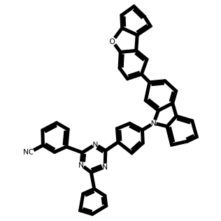 N#Cc1cccc(-c2nc(-c3ccccc3)nc(-c3ccc(-n4c5ccccc5c5ccc(-c6ccc7oc8ccccc8c7c6)cc54)cc3)n2)c1